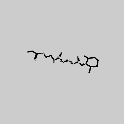 CC1CCCC(C)[15N]1C[13C](=O)N[13CH2][13CH2][13C](=O)NCCNC(=O)CI